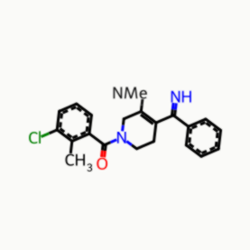 CNC1=C(C(=N)c2ccccc2)CCN(C(=O)c2cccc(Cl)c2C)C1